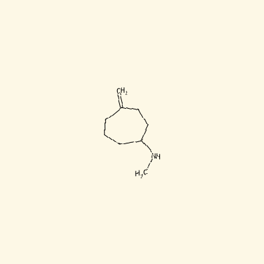 C=C1CCCC(NC)CC1